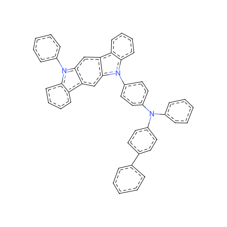 c1ccc(-c2ccc(N(c3ccccc3)c3ccc(-n4c5ccccc5c5cc6c(cc54)c4ccccc4n6-c4ccccc4)cc3)cc2)cc1